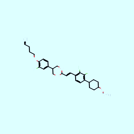 C=CCCCOc1ccc(C2COC(/C=C/c3ccc(C4CCC(OCCCC)CC4)c(F)c3F)OC2)cc1F